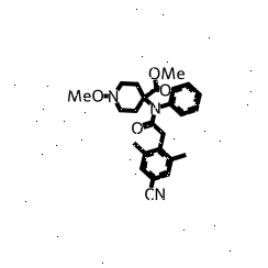 COC(=O)C1(N(C(=O)Cc2c(C)cc(C#N)cc2C)c2ccccc2)CCN(OC)CC1